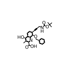 Cc1c(C(=O)O)nc2c(OCc3ccccc3)c(C#CCNC(=O)OC(C)(C)C)ccc2c1O